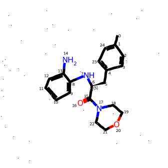 Cc1ccc(C[C@H](Nc2ccccc2N)C(=O)N2CCOCC2)cc1